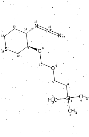 C[Si](C)(C)CCOCO[C@H]1CSCC[C@@H]1N=[N+]=[N-]